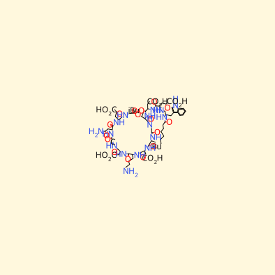 CCC(C)CCCCCCC(=O)NC(Cc1c[nH]c2ccccc12)C(=O)NC(CCC(=O)O)C(=O)NC(CC(=O)O)C(=O)NC1C(=O)NCC(=O)NC(C)C(=O)NC(CC(=O)O)C(=O)NC(CCCCN)C(=O)NC(CC(=O)O)C(=O)NCC(=O)NC(CC(N)=O)C(=O)NC(CCC(=O)O)C(=O)NC(C(C)CC)C(=O)OC1C